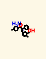 Cc1ccc(/C=C(\c2ccccc2)C(ON)C2CCC(C)CC2)cc1CO